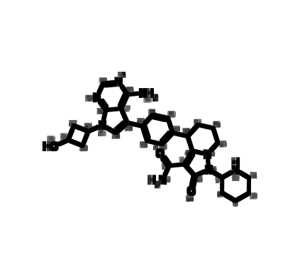 NC(=O)c1c2n(n(C3CCCCN3)c1=O)CCCC2c1ccc(-c2cn(C3CC(O)C3)c3ncnc(N)c23)cc1